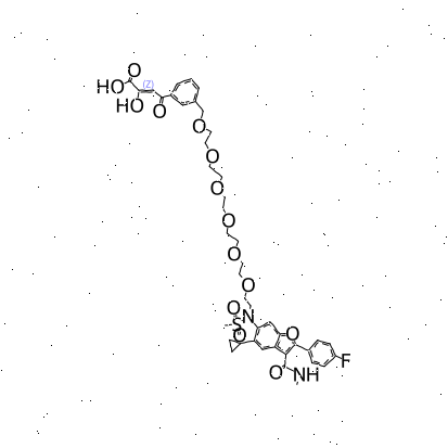 CNC(=O)c1c(-c2ccc(F)cc2)oc2cc(N(CCOCCOCCOCCOCCOCCOCc3cccc(C(=O)/C=C(\O)C(=O)O)c3)S(C)(=O)=O)c(C3CC3)cc12